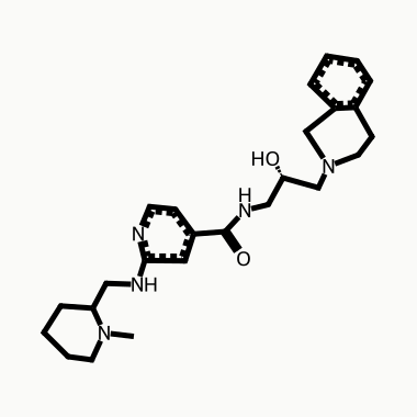 CN1CCCCC1CNc1cc(C(=O)NC[C@H](O)CN2CCc3ccccc3C2)ccn1